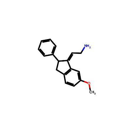 COc1ccc2c(c1)C(=CCN)C(c1ccccc1)C2